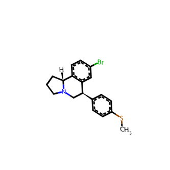 CSc1ccc([C@H]2CN3CCC[C@@H]3c3ccc(Br)cc32)cc1